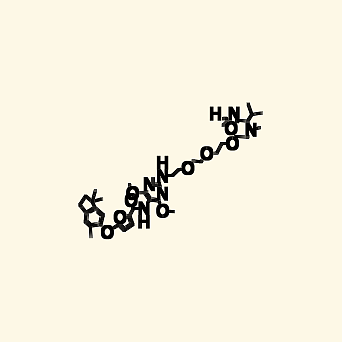 COc1nc(NCCOCCOCCOCCN(C)C(C(N)=O)C(C)C)nc(OC)c1NC(=O)c1ccc(Oc2cc3c(cc2C)CCC3(C)C)o1